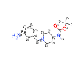 CN(C(=O)OC(C)(C)C)C1CCN(Cc2cccc(N)c2)CC1